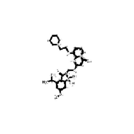 COc1cc(C(C)C)c2c(c1)S(O)(O)N(COc1cc(=O)n3cccc(OCCN4CCCCC4)c3n1)C2=O